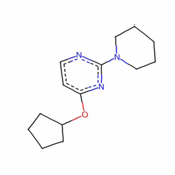 [CH]1CCCN(c2nccc(OC3CCCC3)n2)C1